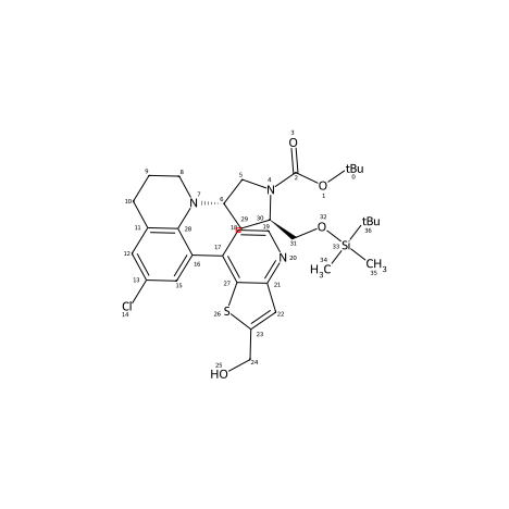 CC(C)(C)OC(=O)N1C[C@@H](N2CCCc3cc(Cl)cc(-c4ccnc5cc(CO)sc45)c32)C[C@@H]1CO[Si](C)(C)C(C)(C)C